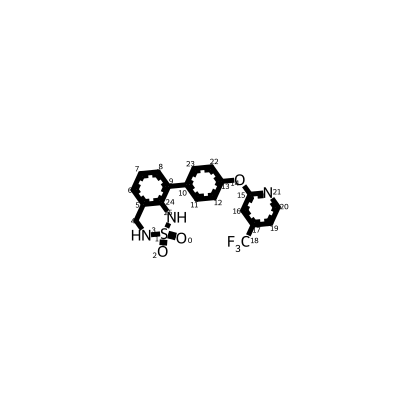 O=S1(=O)NCc2cccc(-c3ccc(Oc4cc(C(F)(F)F)ccn4)cc3)c2N1